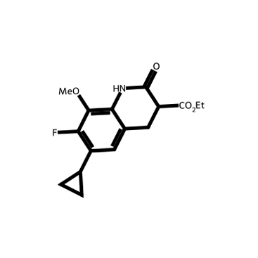 CCOC(=O)C1Cc2cc(C3CC3)c(F)c(OC)c2NC1=O